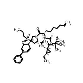 C=CCCCCC[C@H](NC(=O)OC(C)(C)C)C(=O)N1C[C@@](C2C=CC(c3ccccc3)=CC2)(S(=O)(=O)CCC)C[C@H]1C(=O)N[C@]1(C(=O)OCC)C[C@H]1C=C